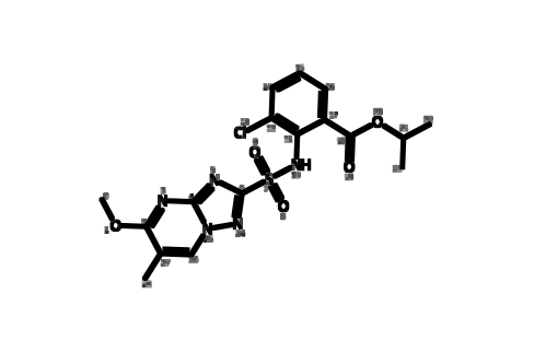 COc1nc2nc(S(=O)(=O)Nc3c(Cl)cccc3C(=O)OC(C)C)nn2cc1C